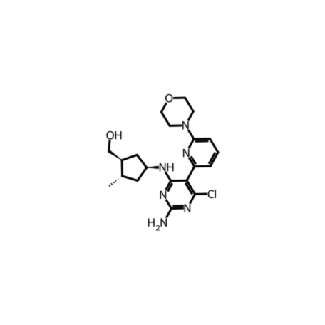 C[C@H]1C[C@H](Nc2nc(N)nc(Cl)c2-c2cccc(N3CCOCC3)n2)C[C@@H]1CO